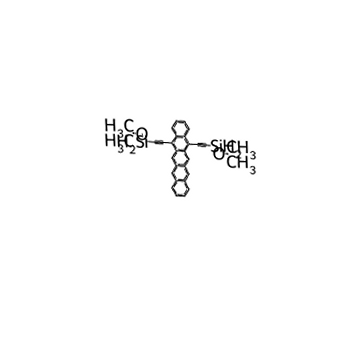 CC(C)O[SiH2]C#Cc1c2ccccc2c(C#C[SiH2]OC(C)C)c2cc3cc4ccccc4cc3cc12